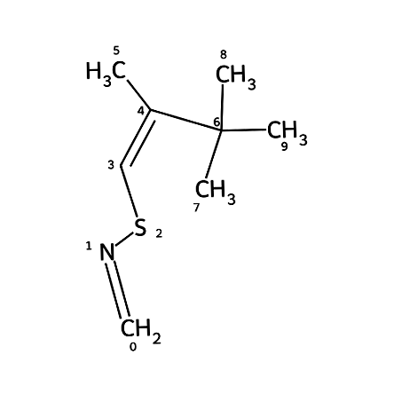 C=NS/C=C(/C)C(C)(C)C